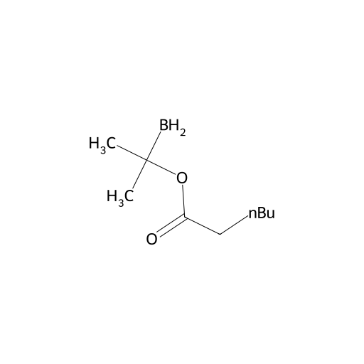 BC(C)(C)OC(=O)CCCCC